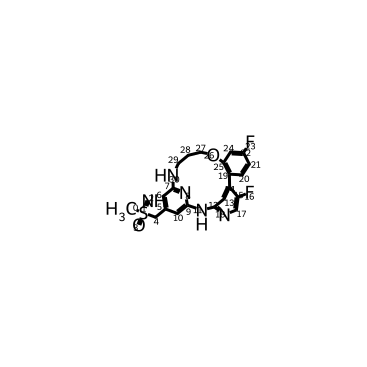 CS(=N)(=O)Cc1cc2nc(c1)Nc1cc(c(F)cn1)-c1ccc(F)cc1OCCCN2